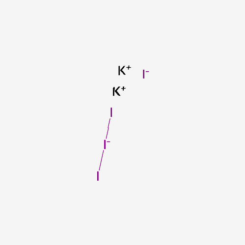 I[I-]I.[I-].[K+].[K+]